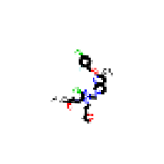 COC(=O)/C=C/c1c(Cl)nc(CN2CCc3cc(C(F)(F)F)c(OCC4CCC(Cl)CC4F)nc3C2)n1CC[C@@H]1CCO1